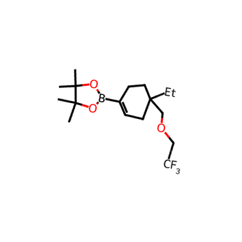 CCC1(COCC(F)(F)F)CC=C(B2OC(C)(C)C(C)(C)O2)CC1